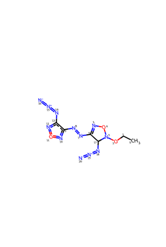 CCON1ON=C(N=Nc2nonc2N=[N+]=[N-])C1N=[N+]=[N-]